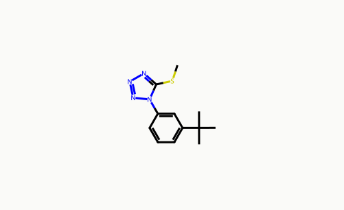 CSc1nnnn1-c1cccc(C(C)(C)C)c1